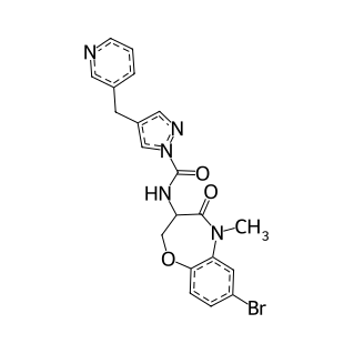 CN1C(=O)C(NC(=O)n2cc(Cc3cccnc3)cn2)COc2ccc(Br)cc21